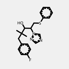 CC(C)(Cc1ccc(F)cc1)C(O)C(CSc1ccccc1)n1cncn1